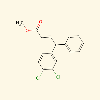 COC(=O)/C=C/[C@@H](c1ccccc1)c1ccc(Cl)c(Cl)c1